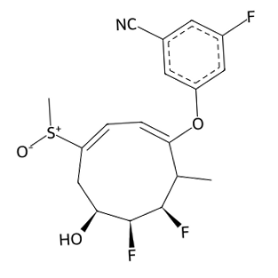 CC1/C(Oc2cc(F)cc(C#N)c2)=C\C=C(\[S+](C)[O-])C[C@H](O)[C@H](F)[C@@H]1F